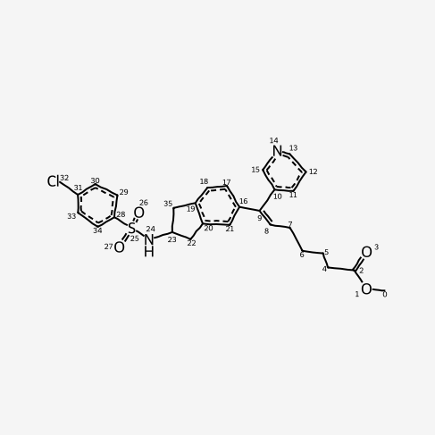 COC(=O)CCCCC=C(c1cccnc1)c1ccc2c(c1)CC(NS(=O)(=O)c1ccc(Cl)cc1)C2